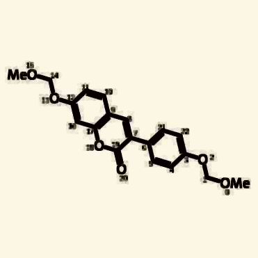 COCOc1ccc(-c2cc3ccc(OCOC)cc3oc2=O)cc1